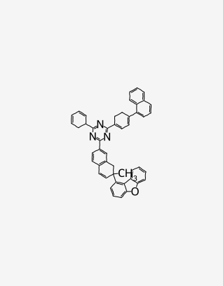 CC1(c2cccc3oc4ccccc4c23)C=Cc2ccc(-c3nc(C4=CC=C(c5cccc6ccccc56)CC4)nc(C4C=CC=CC4)n3)cc2C1